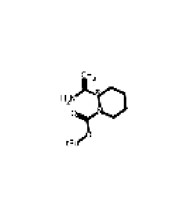 C=C(N)[C@H]1CCCCN1C(=O)OC(C)(C)C